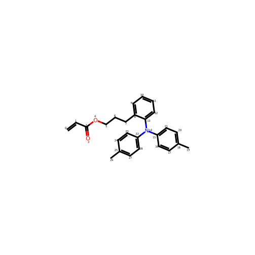 C=CC(=O)OCCCc1ccccc1N(c1ccc(C)cc1)c1ccc(C)cc1